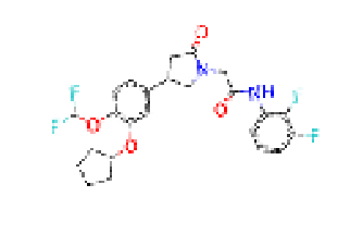 O=C(CN1CC(c2ccc(OC(F)F)c(OC3CCCC3)c2)CC1=O)Nc1cccc(F)c1F